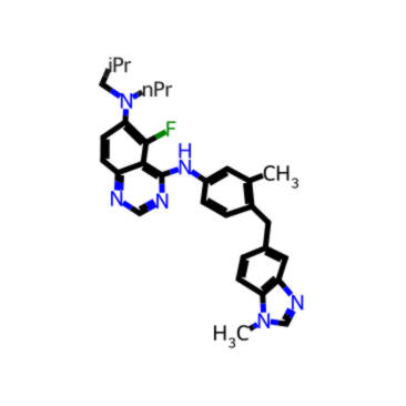 CCCN(CC(C)C)c1ccc2ncnc(Nc3ccc(Cc4ccc5c(c4)ncn5C)c(C)c3)c2c1F